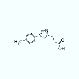 Cc1ccc(-n2cnc(CCC(=O)O)c2)cc1